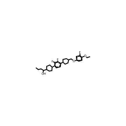 CCCC(O)C1CCC(c2ccc(C3CCC(COc4ccc(OCC)c(F)c4)CC3)c(F)c2F)CC1